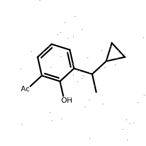 CC(=O)c1cccc(C(C)C2CC2)c1O